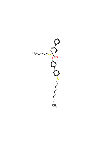 CCCCCCCCCCSc1ccc(-c2ccc(OC(=O)C3(SCCCCC)C=CC(c4ccccc4)=CC3)cc2)cc1